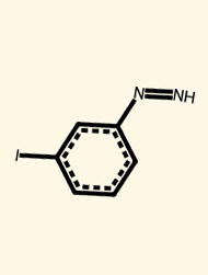 N=Nc1cccc(I)c1